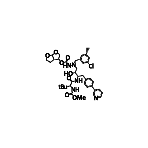 COC(=O)NC(C(=O)NC(Cc1ccc(-c2cccnc2)cc1)C(O)CN(Cc1cc(F)cc(Cl)c1)NC(=O)OC1COC2OCCC12)C(C)(C)C